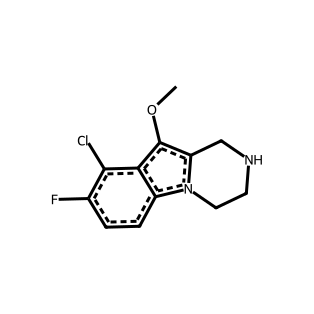 COc1c2n(c3ccc(F)c(Cl)c13)CCNC2